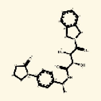 C[C@H](NC(=O)[C@H](O)[C@@H](O)C(=O)N1Cc2ccccc2C1)c1ccc(N2CCCC2=O)cc1